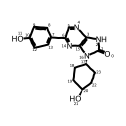 O=c1[nH]c2ncc(-c3ccc(O)cc3)nc2n1[C@H]1CC[C@H](O)CC1